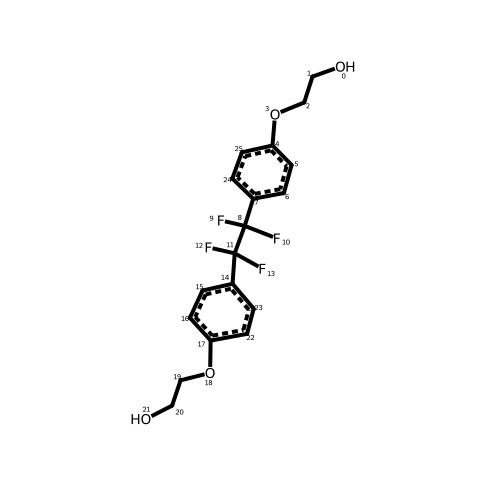 OCCOc1ccc(C(F)(F)C(F)(F)c2ccc(OCCO)cc2)cc1